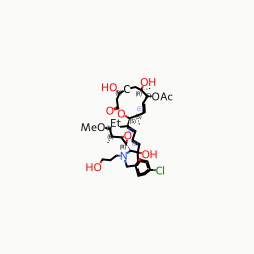 CC[C@H](OC)[C@@H](C)C1O[C@@H]1C(N(CCCO)Cc1ccc(Cl)cc1)C(C)(O)/C=C/C=C(\C)[C@H]1OC(=O)C[C@H](O)CC[C@@](C)(O)[C@@H](OC(C)=O)/C=C/[C@@H]1C